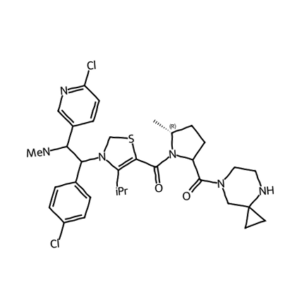 CNC(c1ccc(Cl)nc1)C(c1ccc(Cl)cc1)N1CSC(C(=O)N2C(C(=O)N3CCNC4(CC4)C3)CC[C@H]2C)=C1C(C)C